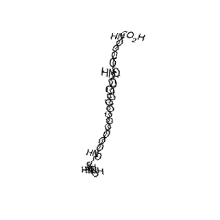 O=C(O)NCCOCCOCCOCCOCCC(=O)NCCOCCOCCOCCOCCOCCOCCOCCOCCOCCOCCOCCNC(=O)CCCC[C@@H]1SC[C@@H]2NC(=O)N[C@@H]21